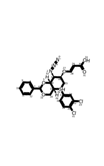 [N-]=[N+]=N[C@@H]1[C@H]2OC(c3ccccc3)OC[C@H]2[SH](c2ccc(Cl)c(Cl)c2)C[C@@H]1O/C=C/C(=O)O